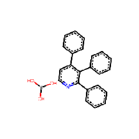 OB(O)O.c1ccc(-c2ccnc(-c3ccccc3)c2-c2ccccc2)cc1